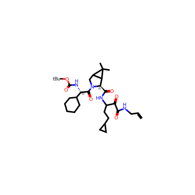 C=CCNC(=O)C(=O)C(CCC1CC1)NC(=O)[C@@H]1C2C(CN1C(=O)[C@@H](NC(=O)OC(C)(C)C)C1CCCCC1)C2(C)C